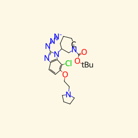 CC(C)(C)OC(=O)N1CCCCC(n2c(N=[N+]=[N-])nc3ccc(OCCN4CCCC4)c(Cl)c32)C1